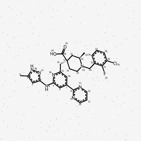 Cc1cc(Nc2cc(-c3ncccn3)cc(C[C@@]3(C(=O)O)CCN(Cc4cccc(Cl)c4F)[C@H](C)C3)n2)n[nH]1